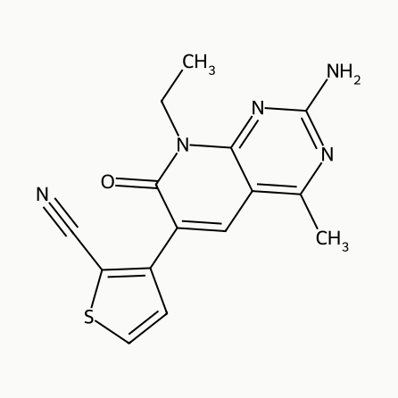 CCn1c(=O)c(-c2ccsc2C#N)cc2c(C)nc(N)nc21